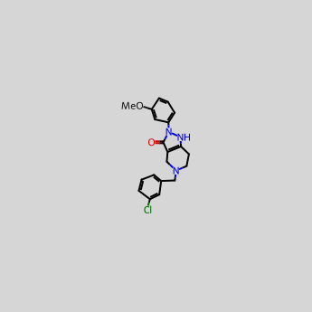 COc1cccc(-n2[nH]c3c(c2=O)CN(Cc2cccc(Cl)c2)CC3)c1